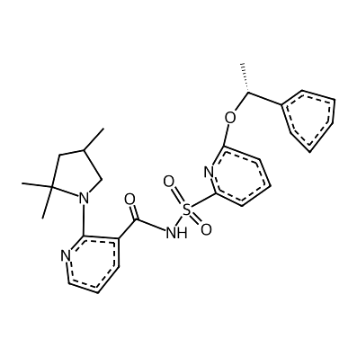 CC1CN(c2ncccc2C(=O)NS(=O)(=O)c2cccc(O[C@H](C)c3ccccc3)n2)C(C)(C)C1